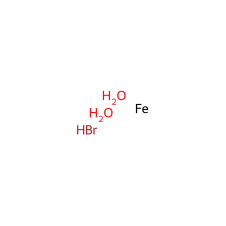 Br.O.O.[Fe]